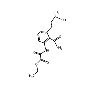 CCOC(=O)C(=O)Nc1cccc(OCC(C)O)c1C(N)=O